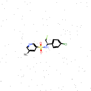 N#Cc1cncc(S(=O)(=O)N[C@@H](CF)c2ccc(Cl)cc2)c1